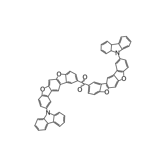 O=S(=O)(c1ccc2oc3cc4oc5ccc(N6c7ccccc7C7C=CC=CC76)cc5c4cc3c2c1)c1ccc2oc3cc4oc5ccc(-n6c7ccccc7c7ccccc76)cc5c4cc3c2c1